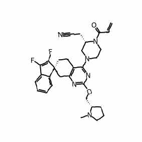 C=CC(=O)N1CCN(c2nc(OC[C@@H]3CCCN3C)nc3c2CC[C@@]2(C3)C(F)=C(F)c3ccccc32)C[C@@H]1CC#N